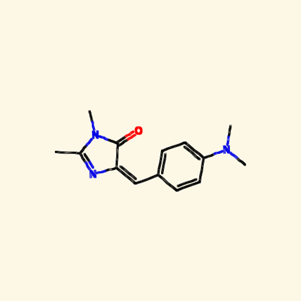 CC1=NC(=Cc2ccc(N(C)C)cc2)C(=O)N1C